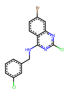 Clc1cccc(CNc2nc(Cl)nc3cc(Br)ccc23)c1